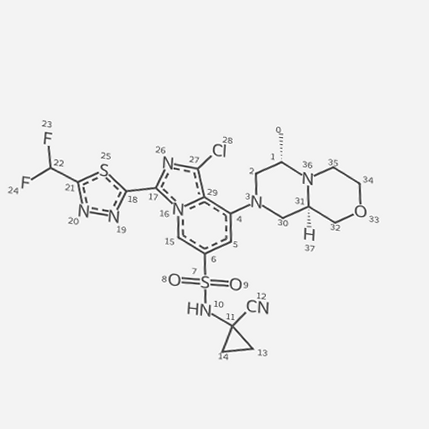 C[C@H]1CN(c2cc(S(=O)(=O)NC3(C#N)CC3)cn3c(-c4nnc(C(F)F)s4)nc(Cl)c23)C[C@@H]2COCCN21